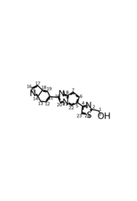 OCc1nc(-c2ccc3nc(C4=CCC5=NC=CC5=C4)cn3c2)cs1